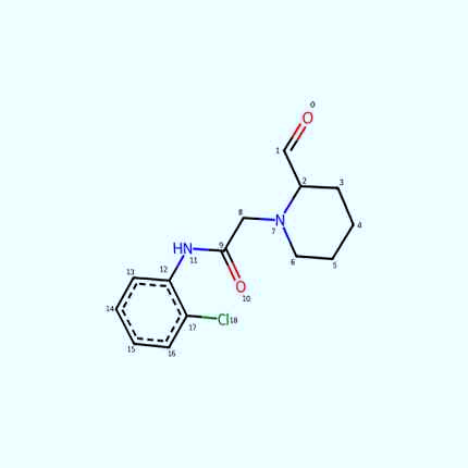 O=CC1CCCCN1CC(=O)Nc1ccccc1Cl